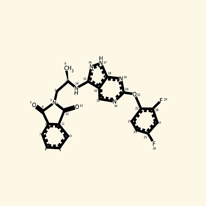 C[C@H](CN1C(=O)c2ccccc2C1=O)Nc1n[nH]c2nc(Oc3ccc(F)cc3F)ncc12